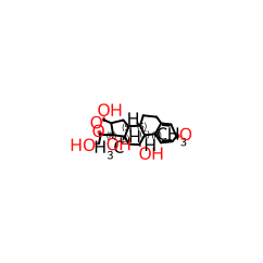 C[C@]12C=CC(=O)C=C1CC[C@@H]1[C@@H]2C(O)C[C@@]2(C)[C@H]1CC(C(=O)O)[C@]2(O)C(=O)CO